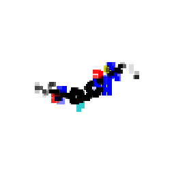 Cc1nsc(NC(=O)N2CCC(Cc3ccc(-c4noc(C)n4)cc3F)CC2)n1